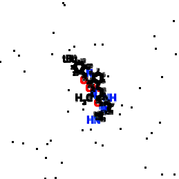 Cn1nc(-c2cccc(N3Cc4cc(C(C)(C)C)ccc4C3=O)c2CO)cc(Nc2ccn(C3CNC3)n2)c1=O